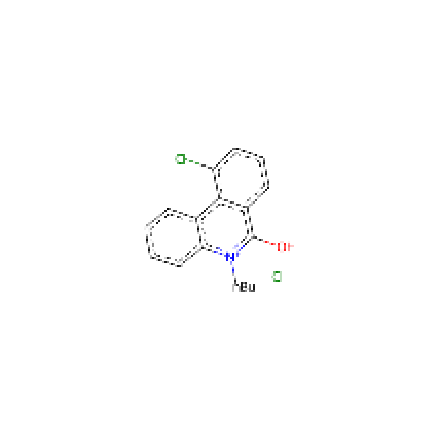 CCCC[n+]1c(O)c2cccc(Cl)c2c2ccccc21.[Cl-]